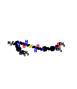 C/C=C(\C=C/NCCCC(=O)NCCSSCCNC(=O)CCC[n+]1ccc(/C=C/c2ccc(N(C)CC(=O)OC)cc2)cc1)/C=C/c1ccc(N(C)CC)cc1